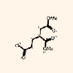 COC(=O)C[C@H](CCC(=O)Cl)C(=O)OC